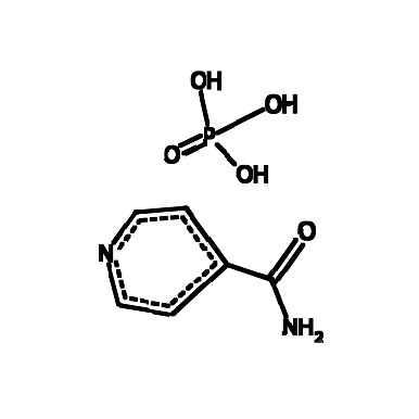 NC(=O)c1ccncc1.O=P(O)(O)O